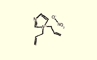 C=CC[N+]1(CC=C)C=CN=C1.O=[N+]([O-])[O-]